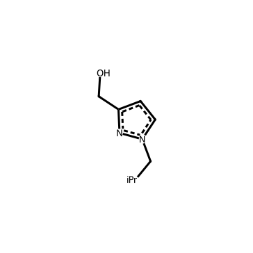 CC(C)Cn1ccc(CO)n1